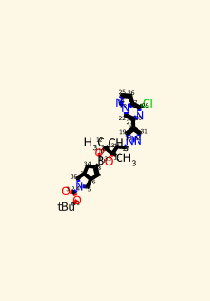 CC(C)(C)OC(=O)N1CC2C=C(B3OC(C)(C)C(C)(CCn4cc(-c5cn6nccc6c(Cl)n5)cn4)O3)CC2C1